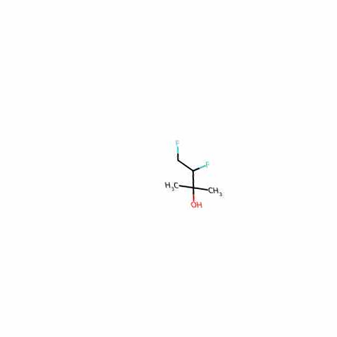 CC(C)(O)C(F)CF